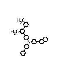 Cc1cccc(-c2cc(C)cc(-c3ccc(N(c4ccc(-c5ccccc5)cc4)c4ccc(-c5ccc6ccccc6c5)cc4)cc3)c2)c1